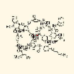 CN[C@H](CC(C)C)C(=O)N[C@H]1C(=O)N[C@@H](CC(=O)NC(=O)c2ccc(OCCCN)c(OCCCN)c2)C(=O)N[C@H]2C(=O)N[C@H]3C(=O)N[C@H](C(=O)N[C@H](C(=O)NC4C5CC6CC(C5)CC4C6)c4cc(O)cc5c4-c4cc3ccc4C5(O)O)[C@H](O)c3ccc(c(Cl)c3)Oc3cc2cc(c3O[C@@H]2O[C@H](CO)[C@@H](O)[C@H](O)[C@H]2O)Oc2ccc(cc2Cl)[C@H]1O